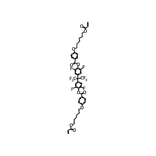 C=CC(=O)OCCCCCCOc1ccc(C(=O)Oc2c(F)cc(C(c3cc(F)c(OC(=O)c4ccc(OCCCCCCOC(=O)C=C)cc4)c(F)c3)(C(F)(F)F)C(F)(F)F)cc2F)cc1